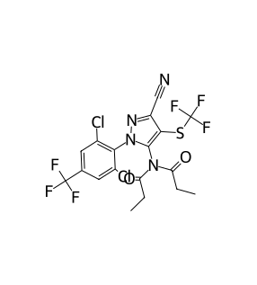 CCC(=O)N(C(=O)CC)c1c(SC(F)(F)F)c(C#N)nn1-c1c(Cl)cc(C(F)(F)F)cc1Cl